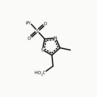 Cc1nc(S(=O)(=O)C(C)C)sc1CC(=O)O